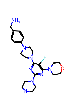 NCc1ccc(N2CCN(c3nc(N4CCNCC4)nc(N4CCOCC4)c3F)CC2)cc1